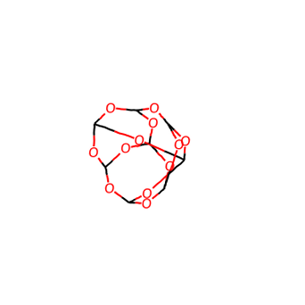 O1C2OC3OC4OC1OC1OC(O2)OC(O3)OC(O4)O1